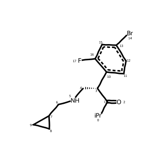 CC(C)C(=O)[C@H](CNCC1CC1)c1ccc(Br)cc1F